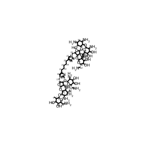 CC1[C@@H](OC2C(N)C[C@@H](N)C(O)[C@H]2O[C@@H]2O[C@H](Cn3cc(CCCCCc4cn(C[C@H]5O[C@@H](O[C@H]6C(O[C@@H]7OC(CN)C(O)[C@H](O)C7N)C(N)C[C@@H](N)C6O)C(O)[C@H]5O[C@H]5O[C@@H](CN)C(O)C(O)C5N)nn4)nn3)[C@H](O[C@H]3O[C@@H](CN)C(O)C(O)C3N)C2O)OC(CN)C(O)[C@@H]1O